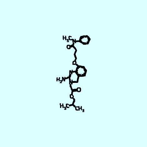 CC(C)COC(=O)CN1Cc2cccc(OCCCC(=O)N(C)c3ccccc3)c2N=C1N